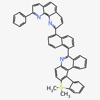 CS1(C)c2ccccc2-c2c1ccc1nc(-c3cccc4c(-c5ccc6ccc7ccc(-c8ccccc8)nc7c6n5)cccc34)c3ccccc3c21